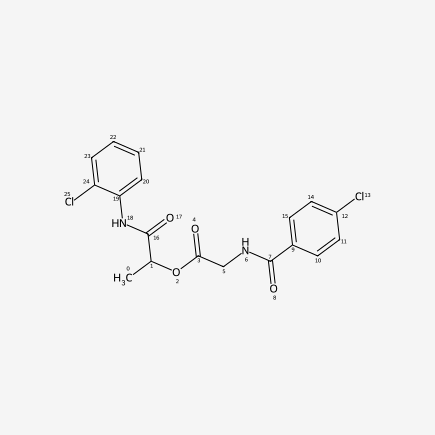 CC(OC(=O)CNC(=O)c1ccc(Cl)cc1)C(=O)Nc1ccccc1Cl